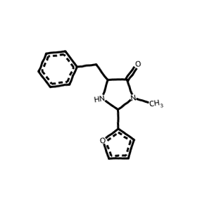 CN1C(=O)C(Cc2ccccc2)NC1c1ccco1